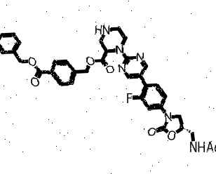 CC(=O)NC[C@H]1CN(c2ccc(-c3cnc(N4CCNCC4C(=O)OCc4ccc(C(=O)OCc5ccccc5)cc4)nc3)c(F)c2)C(=O)O1